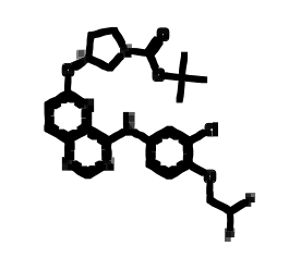 CC(C)(C)OC(=O)N1CC[C@H](Oc2ccc3ncnc(Nc4ccc(OCC(F)F)c(Cl)c4)c3n2)C1